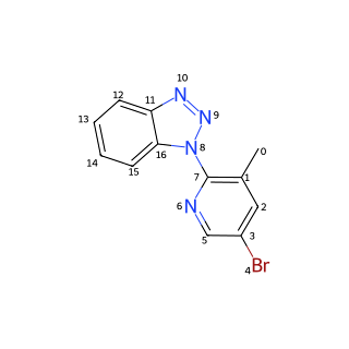 Cc1cc(Br)cnc1-n1nnc2ccccc21